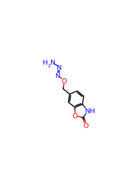 NN=NOCc1ccc2[nH]c(=O)oc2c1